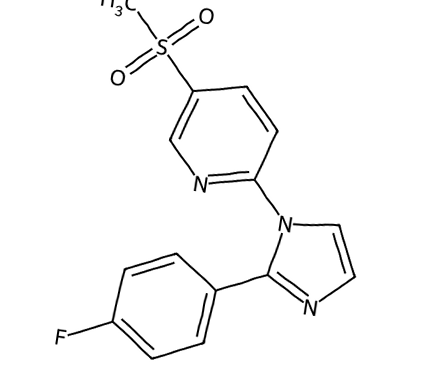 CS(=O)(=O)c1ccc(-n2ccnc2-c2ccc(F)cc2)nc1